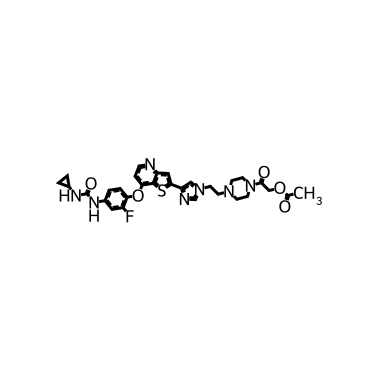 CC(=O)OCC(=O)N1CCN(CCn2cnc(-c3cc4nccc(Oc5ccc(NC(=O)NC6CC6)cc5F)c4s3)c2)CC1